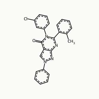 Cc1ccccc1-c1nc2nn(-c3ccccc3)cc2c(=O)n1-c1cccc(Cl)c1